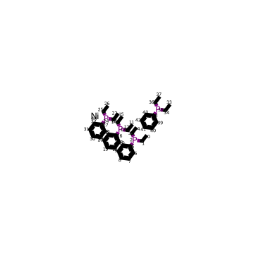 CCP(CC)c1ccccc1.CCP(CC)c1ccccc1.CCP(CC)c1ccccc1.CCP(CC)c1ccccc1.[Ni]